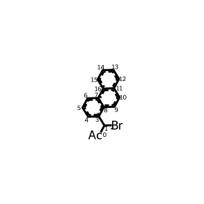 CC(=O)C(Br)c1cccc2c1ccc1ccccc12